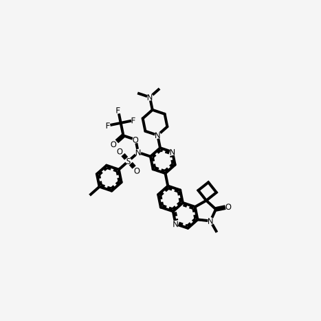 Cc1ccc(S(=O)(=O)N(OC(=O)C(F)(F)F)c2cc(-c3ccc4ncc5c(c4c3)C3(CCC3)C(=O)N5C)cnc2N2CCC(N(C)C)CC2)cc1